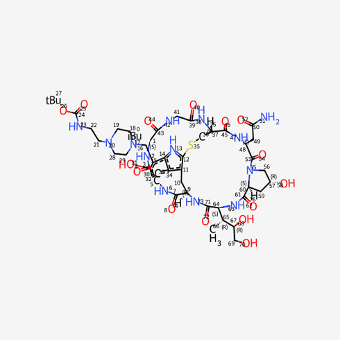 CC[C@H](C)[C@@H]1NC(=O)CNC(=O)[C@H]2Cc3c([nH]c4c(CN5CCN(CCNC(=O)OC(C)(C)C)CC5)c(O)ccc34)SC[C@H](NC(=O)CNC1=O)C(=O)N[C@@H](CC(N)=O)C(=O)N1C[C@H](O)C[C@H]1C(=O)N[C@@H]([C@@H](C)[C@@H](O)CO)C(=O)N2